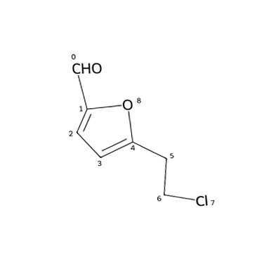 O=Cc1ccc(CCCl)o1